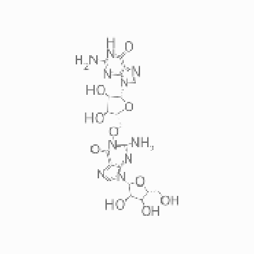 Nc1nc2c(ncn2[C@@H]2O[C@H](COn3c(N)nc4c(ncn4[C@@H]4O[C@H](CO)[C@@H](O)[C@H]4O)c3=O)[C@@H](O)[C@H]2O)c(=O)[nH]1